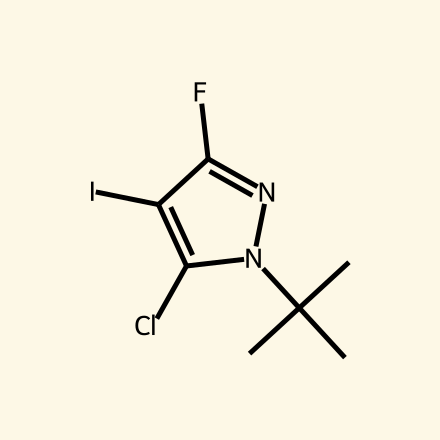 CC(C)(C)n1nc(F)c(I)c1Cl